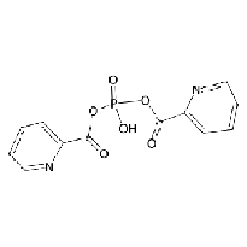 O=C(OP(=O)(O)OC(=O)c1ccccn1)c1ccccn1